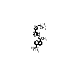 CNC(=O)c1ccnc2c([C@H](C)CNc3cc(-c4cnn(CC(C)C)c4)ncn3)cccc12